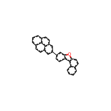 c1ccc2c(c1)ccc1oc3cc(-c4cc5ccc6cccc7ccc(c4)c5c67)ccc3c12